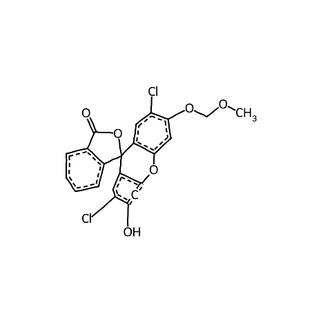 COCOc1cc2c(cc1Cl)C1(OC(=O)c3ccccc31)c1cc(Cl)c(O)cc1O2